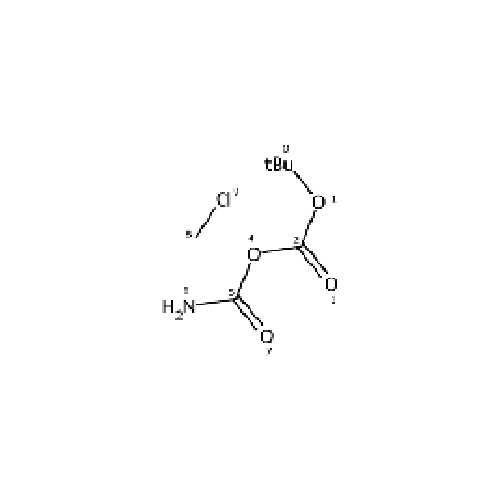 CC(C)(C)OC(=O)OC(N)=O.CCl